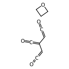 C1COC1.O=C=CC(=C=O)C=C=O